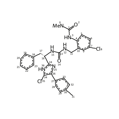 CNC(=O)Nc1ccc(Cl)cc1CNC(=O)N[C@@H](Cc1ccccc1)c1nc(-c2ccc(C)cc2)c(Cl)[nH]1